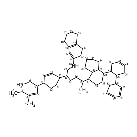 CC/C(C)=C\C(CC)C1C=CC(C(CCC(C)C2CCC(C3CC=CCC3C3C=CC=CC3)C3CCCCC23)CNC2=CC3=C(CCCC3)CC2)CC1